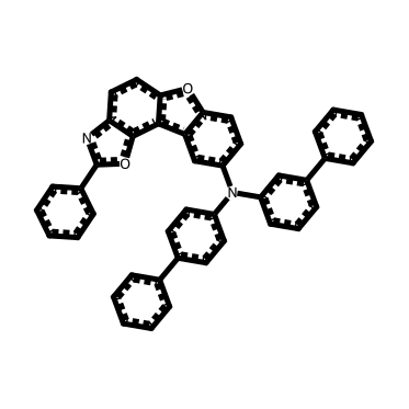 c1ccc(-c2ccc(N(c3cccc(-c4ccccc4)c3)c3ccc4oc5ccc6nc(-c7ccccc7)oc6c5c4c3)cc2)cc1